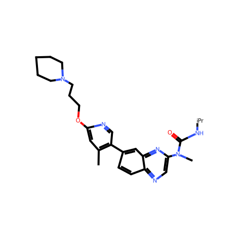 Cc1cc(OCCCN2CCCCC2)ncc1-c1ccc2ncc(N(C)C(=O)NC(C)C)nc2c1